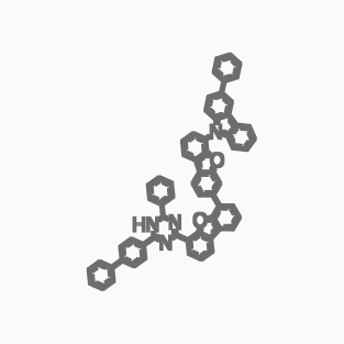 c1ccc(-c2ccc(C3=NC(c4cccc5c4oc4c(-c6ccc7c(c6)oc6c(-n8c9ccccc9c9cc(-c%10ccccc%10)ccc98)cccc67)cccc45)=NC(c4ccccc4)N3)cc2)cc1